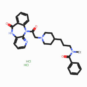 CCN(CCCC1CCN(CC(=O)N2c3ccccc3C(=O)Nc3cccnc32)CC1)C(=O)c1ccccc1.Cl.Cl